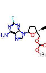 C#C[C@@]1(COC(=O)OCCCC)CC[C@H](n2cnc3c(N)nc(F)nc32)O1